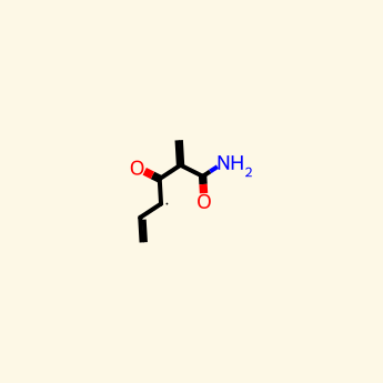 C=C[CH]C(=O)C(=C)C(N)=O